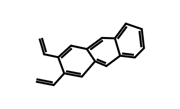 C=Cc1cc2cc3ccccc3cc2cc1C=C